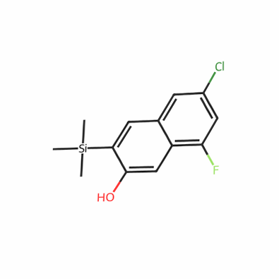 C[Si](C)(C)c1cc2cc(Cl)cc(F)c2cc1O